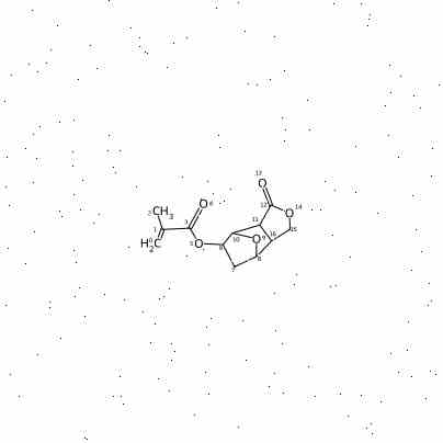 C=C(C)C(=O)OC1CC2OC1C1C(=O)OCC21